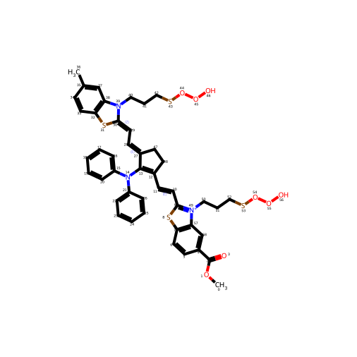 COC(=O)c1ccc2sc(/C=C/C3=C(N(c4ccccc4)c4ccccc4)C(=C/C=C4\Sc5ccc(C)cc5N4CCCSOOO)/CC3)[n+](CCCSOOO)c2c1